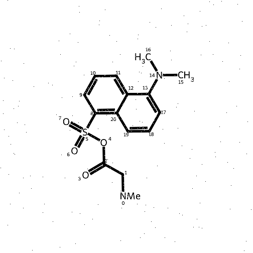 CNCC(=O)OS(=O)(=O)c1cccc2c(N(C)C)cccc12